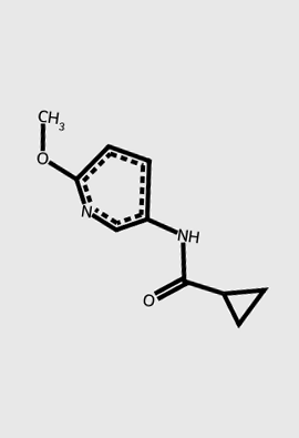 COc1ccc(NC(=O)C2CC2)cn1